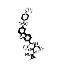 CC(C)C[C@H](N[C@@H](c1ccc2c(c1)oc1ccc(S(=O)(=O)N3CCN(C)CC3)cc12)C(F)(F)F)C(=O)NC1(C#N)CC1